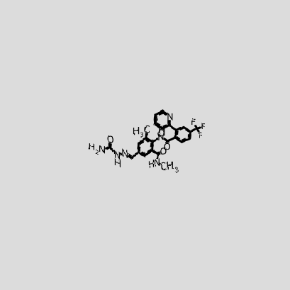 CNC(=O)c1cc(C=NNC(N)=O)cc(C)c1NC(=O)c1ccc(C(F)(F)F)cc1-c1ncccc1Cl